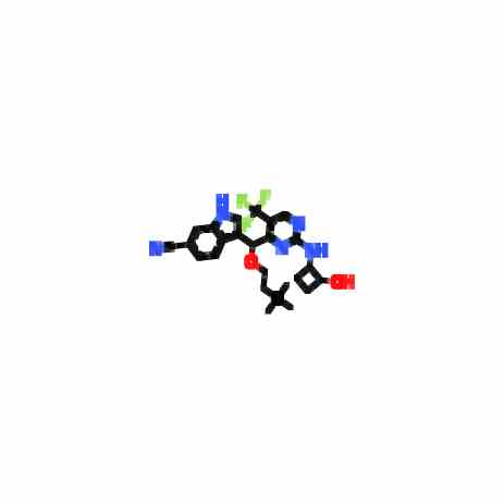 C[Si](C)(C)CCOC(c1nc(NC2CCC2O)ncc1C(F)(F)F)c1c[nH]c2cc(C#N)ccc12